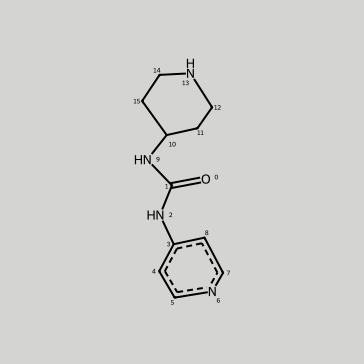 O=C(Nc1ccncc1)NC1CCNCC1